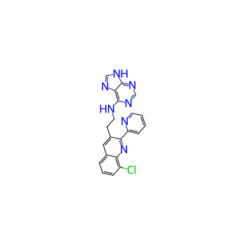 Clc1cccc2cc(CCNc3ncnc4[nH]cnc34)c(-c3ccccn3)nc12